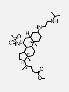 COC(=O)CC[C@@H](C)[C@H]1CCC2C3C(CC[C@@]21C)[C@@]1(C)CCC(NCCNC(C)C)C[C@@H]1C[C@H]3NS(C)(=O)=O